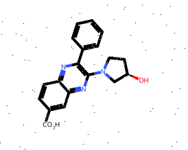 O=C(O)c1ccc2nc(-c3ccccc3)c(N3CC[C@@H](O)C3)nc2c1